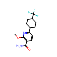 COc1nc(C2CCC(C(F)(F)F)CC2)ccc1C(N)=O